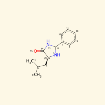 CC(C)C[C@@H]1NC(c2ccccc2)NC1=O